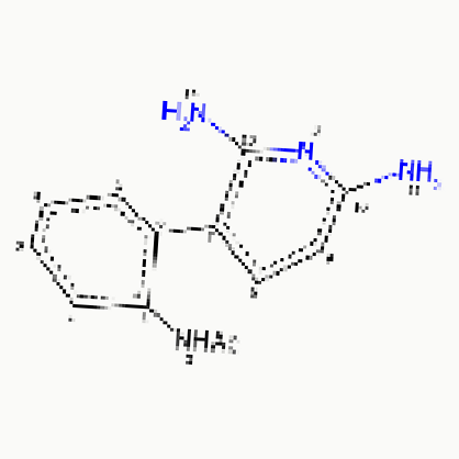 CC(=O)Nc1ccccc1-c1ccc(N)nc1N